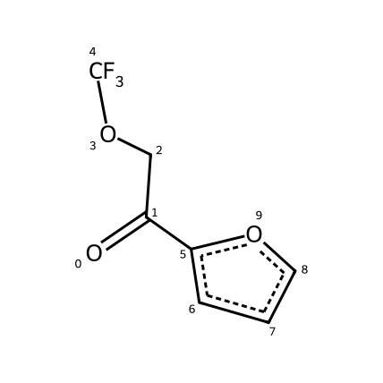 O=C(COC(F)(F)F)c1ccco1